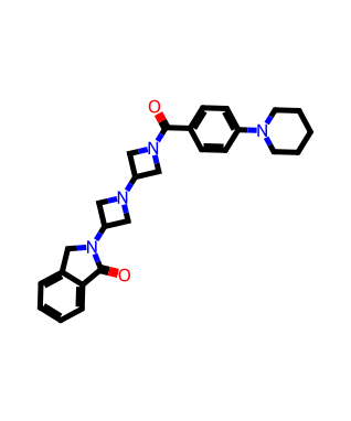 O=C(c1ccc(N2CCCCC2)cc1)N1CC(N2CC(N3Cc4ccccc4C3=O)C2)C1